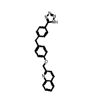 c1ccc2nc(COc3ccc(Cc4ccc(-c5nnn[nH]5)cc4)cc3)ccc2c1